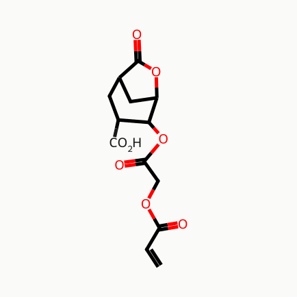 C=CC(=O)OCC(=O)OC1C2CC(CC1C(=O)O)C(=O)O2